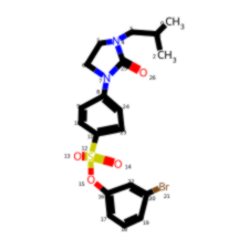 CC(C)CN1CCN(c2ccc(S(=O)(=O)Oc3cccc(Br)c3)cc2)C1=O